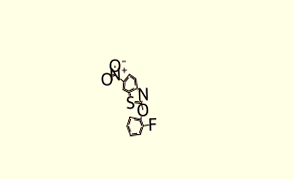 O=[N+]([O-])c1ccc2nc(Oc3ccccc3F)sc2c1